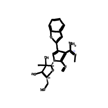 C=Nc1c(/C(N)=N\C)c(-c2cc3ccccc3o2)cn1[C@@H]1O[C@H](CO)C(O)C1(C)O